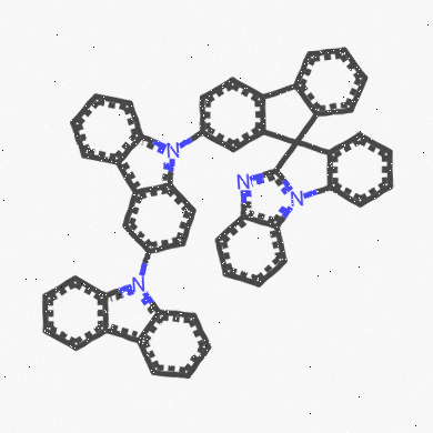 c1ccc2c(c1)-c1ccc(-n3c4ccccc4c4cc(-n5c6ccccc6c6ccccc65)ccc43)cc1C21c2ccccc2-n2c1nc1ccccc12